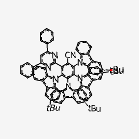 CC(C)(C)c1ccc2c(c1)c1ccccc1n2-c1c(C#N)c(-c2nc(-c3ccccc3)cc(-c3ccccc3)n2)c(-n2c3ccccc3c3cc(C(C)(C)C)ccc32)c(-n2c3ccccc3c3cc(C(C)(C)C)ccc32)c1-n1c2ccccc2c2cc(C(C)(C)C)ccc21